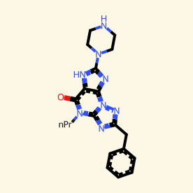 CCCn1c(=O)c2[nH]c(N3CCNCC3)nc2n2nc(Cc3ccccc3)nc12